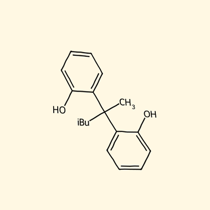 CCC(C)C(C)(c1ccccc1O)c1ccccc1O